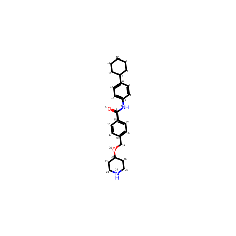 O=C(Nc1ccc(C2CCCCC2)cc1)c1ccc(COC2CCNCC2)cc1